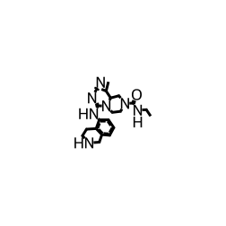 CCNC(=O)N1CCN(/C(=N\C#N)Nc2cccc3c2CCNC3)C(C(C)C)C1